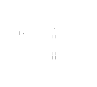 CCCCCCc1cc2c(s1)[N+](=O)C1=C(C=C(F)CC1)NC2